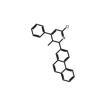 CC1C(c2ccccc2)=CC(Cl)=NC1c1ccc2c(ccc3ccccc32)c1